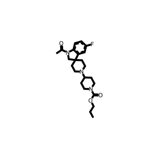 CCCOC(=O)N1CCC(N2CCC3(CC2)CN(C(C)=O)c2ccc(F)cc23)CC1